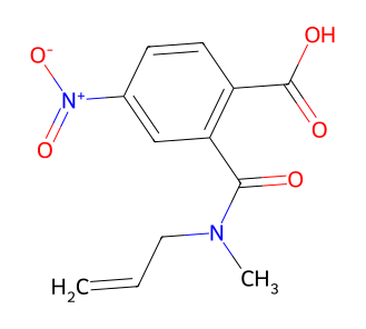 C=CCN(C)C(=O)c1cc([N+](=O)[O-])ccc1C(=O)O